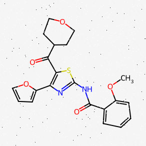 COc1ccccc1C(=O)Nc1nc(-c2ccco2)c(C(=O)C2CCOCC2)s1